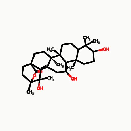 CC1(C)C2CC[C@]3(C)C([C@@H](O)CC4=C5[C@]6(CC[C@](C)(OC6=O)[C@@]5(C)O)CC[C@]43C)[C@@]2(C)CC[C@@H]1O